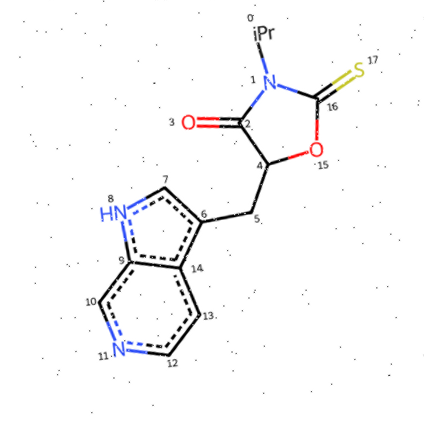 CC(C)N1C(=O)C(Cc2c[nH]c3cnccc23)OC1=S